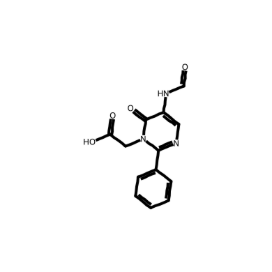 O=CNc1cnc(-c2ccccc2)n(CC(=O)O)c1=O